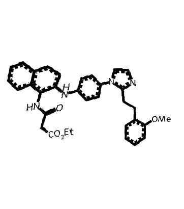 CCOC(=O)CC(=O)Nc1c(Nc2ccc(-n3ccnc3CCc3ccccc3OC)cc2)ccc2ccccc12